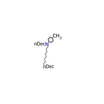 CCCCCCCCCCCCCCCCCCN(CCCCCCCCCC)c1ccc(C)cc1